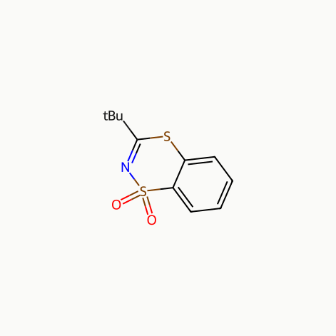 CC(C)(C)C1=NS(=O)(=O)c2ccccc2S1